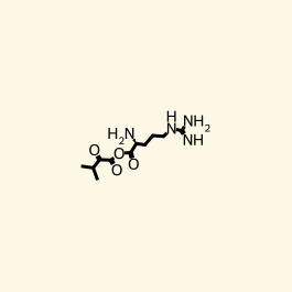 CC(C)C(=O)C(=O)OC(=O)[C@@H](N)CCCNC(=N)N